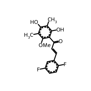 COc1c(C)c(O)c(C)c(O)c1C(=O)C=Cc1cc(F)ccc1F